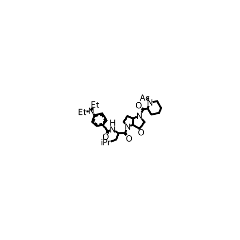 CCN(CC)c1ccc(C(=O)NC(CC(C)C)C(=O)N2CCC3C2C(=O)CN3C(=O)C2CCCCN2C(C)=O)cc1